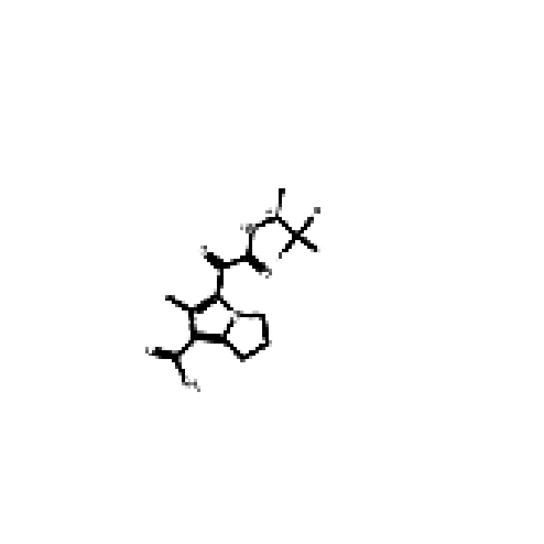 Cc1c(C(N)=O)c2n(c1C(=O)C(=O)N[C@@H](C)C(F)(F)F)CCC2